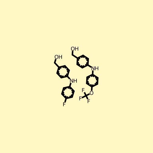 OCc1ccc(Nc2ccc(F)cc2)cc1.OCc1ccc(Nc2ccc(OC(F)(F)F)cc2)cc1